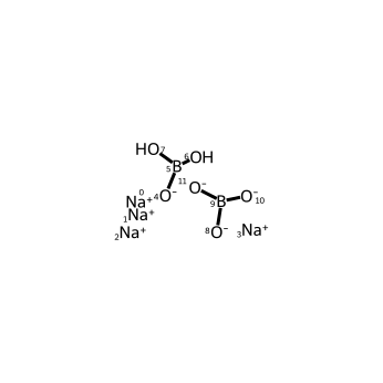 [Na+].[Na+].[Na+].[Na+].[O-]B(O)O.[O-]B([O-])[O-]